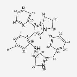 Cc1ccc(-c2cn3c(c2-c2ccccc2)CCC3)c(S)c1.c1ccc(CC2=NCCC2)cc1